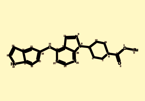 CC(C)(C)OC(=O)N1CCC(n2ncc3c(Oc4ccc5[nH]ccc5c4)ncnc32)CC1